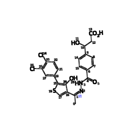 C/C(=N/NC(=O)c1ccc(C(O)CC(=O)O)cc1)c1csc(-c2ccc(Cl)c(Cl)c2)c1O